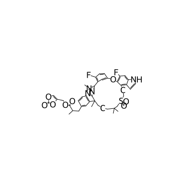 CC(Cc1cccc(C2(C)CCCC(C)(C)CS(=O)(=O)CCc3c(c(F)cc4[nH]ccc34)Oc3ccc(F)c(c3)-c3nc2nn3C)c1)C(=O)OCc1coc(=O)o1